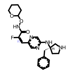 O=C(NOC1CCCCO1)/C(F)=C\c1cnc(N[C@]2(Cc3ccccc3)CCNC2)cn1